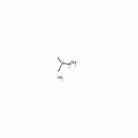 CC(C)[SiH](C)C.Cl.Cl